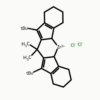 CC(C)(C)C1=C2[CH]([Zr+2][CH]3C4=C(CCCC4)C(C(C)(C)C)=C3C2(C)C)C2=C1CCCC2.[Cl-].[Cl-]